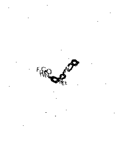 CCn1c2ccc(CN3CCc4ccccc4C3)cc2c2cc(NC(=O)C(F)(F)F)ccc21